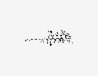 C=CCCCCCCC(O)CNc1cc(N(C)C)c2c(c1O)C(=O)C1=C(O)[C@@]3(O)C(=O)C(C(N)=O)=C(O)[C@@H](N(C)C)[C@H]3C[C@@H]1C2